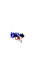 CC(C)(C(=O)NC1CCC1)c1cncnc1